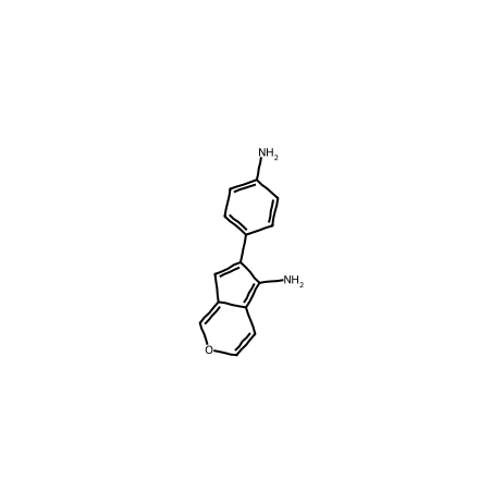 Nc1ccc(-c2cc3coccc-3c2N)cc1